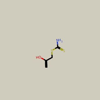 C=C(O)CSC(N)=S